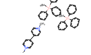 CCCC[B-](c1ccccc1)(c1ccccc1)c1ccccc1.CCCC[B-](c1ccccc1)(c1ccccc1)c1ccccc1.C[n+]1ccc(-c2cc[n+](C)cc2)cc1